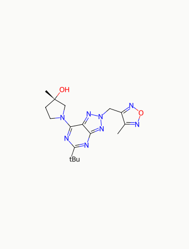 Cc1nonc1Cn1nc2nc(C(C)(C)C)nc(N3CC[C@](C)(O)C3)c2n1